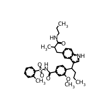 CCCNC(=O)C(C)Cc1ccc2[nH]cc(C(CCC)c3ccc(C(=O)NS(=O)(=O)c4ccccc4C)cc3OC)c2c1